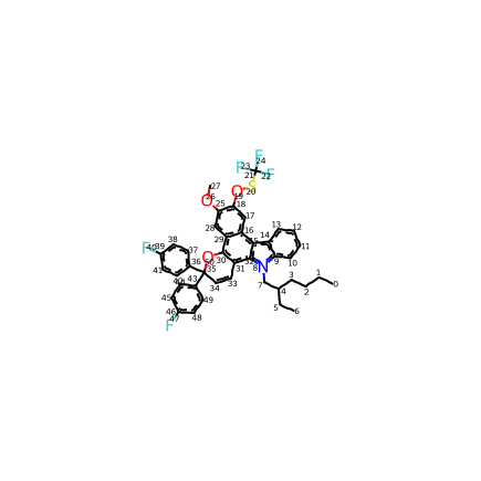 CCCCC(CC)Cn1c2ccccc2c2c3cc(OSC(F)(F)F)c(OC)cc3c3c(c21)C=CC(c1ccc(F)cc1)(c1ccc(F)cc1)O3